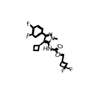 Cn1nc(-c2ccc(F)c(F)c2)c(C2CCC2)c1NC(=O)OCC1CC(F)(F)C1